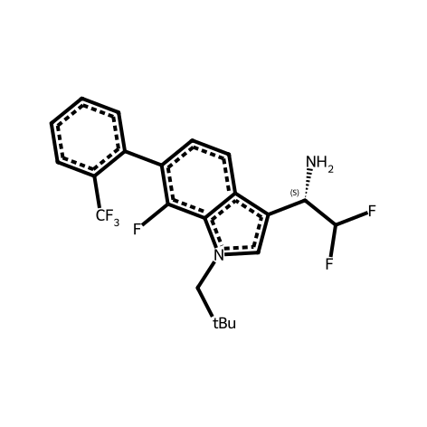 CC(C)(C)Cn1cc([C@H](N)C(F)F)c2ccc(-c3ccccc3C(F)(F)F)c(F)c21